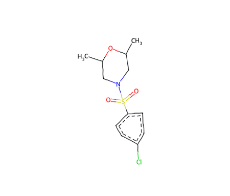 CC1CN(S(=O)(=O)c2ccc(Cl)cc2)CC(C)O1